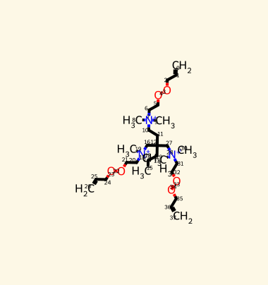 C=CCOOCC[N+](C)(C)CCC(CCC)(C[N+](C)(C)CCOOCC=C)C[N+](C)(C)CCOOCC=C